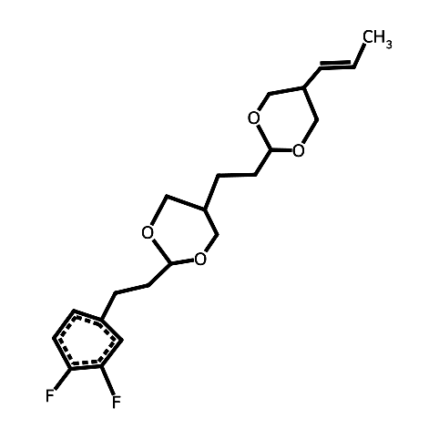 CC=CC1COC(CCC2COC(CCc3ccc(F)c(F)c3)OC2)OC1